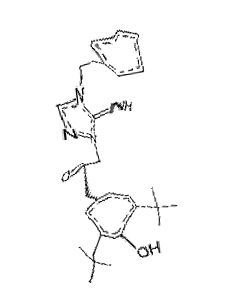 CC(C)(C)c1cc(C(=O)Cn2ncn(Cc3ccccc3)c2=N)cc(C(C)(C)C)c1O